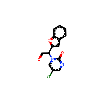 O=CC(c1cc2ccccc2o1)n1cc(Cl)cnc1=O